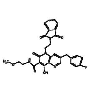 COCCNC(=O)c1c(O)c2ncc(Cc3ccc(F)cc3)cc2n(CCN2C(=O)c3ccccc3C2=O)c1=O